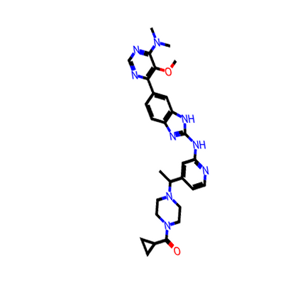 COc1c(-c2ccc3nc(Nc4cc(C(C)N5CCN(C(=O)C6CC6)CC5)ccn4)[nH]c3c2)ncnc1N(C)C